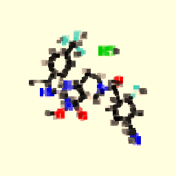 COn1c(NC(C)c2ccc(C(F)(F)F)cc2)nc2c(c1=O)CN(C(=O)c1ccc(C#N)cc1F)CC2.Cl